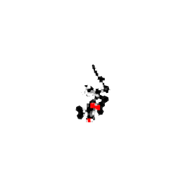 C=CCOC/C=C/[C@H]1CC(=C)[C@H](CC[C@H]2C[C@@H](C)C(=C)[C@@H](C[C@@H]3O[C@H](C[C@H]4CN(C(=O)C(C)(C)C)C(C)(C)O4)[C@H](OC)[C@H]3[C@@H](C(O)C[C@H]3CC[C@@H]4O[C@@H]5[C@@H](O[C@H](CC(C=C)O[Si](CC)(CC)CC)[C@@H]5O[Si](c5ccccc5)(c5ccccc5)C(C)(C)C)[C@@H](O[Si](c5ccccc5)(c5ccccc5)C(C)(C)C)[C@H]4O3)S(=O)(=O)c3ccccc3)O2)O1